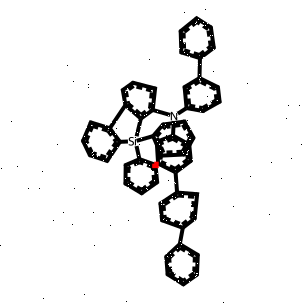 c1ccc(-c2ccc(-c3ccc(N(c4cccc(-c5ccccc5)c4)c4cccc5c4[Si](c4ccccc4)(c4ccccc4)c4ccccc4-5)cc3)cc2)cc1